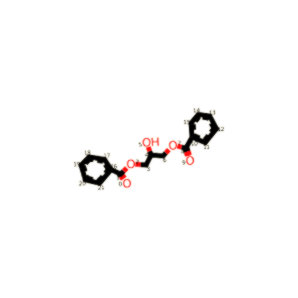 O=C(OCC(O)COC(=O)c1ccccc1)c1ccccc1